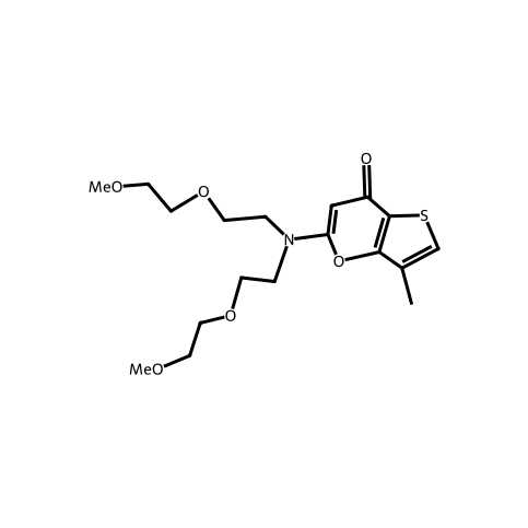 COCCOCCN(CCOCCOC)c1cc(=O)c2scc(C)c2o1